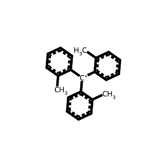 Cc1ccccc1[C+](c1ccccc1C)c1ccccc1C